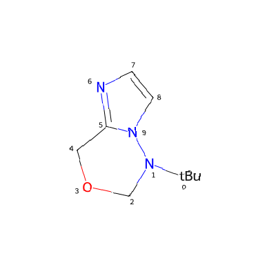 CC(C)(C)N1COCc2nccn21